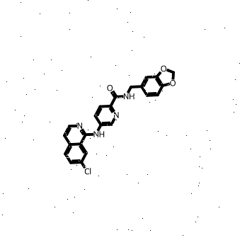 O=C(NCc1ccc2c(c1)OCO2)c1ccc(Nc2nccc3ccc(Cl)cc23)cn1